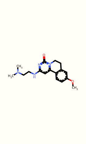 COc1ccc2c(c1)CCn1c-2cc(NCCN(C)C)nc1=O